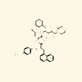 CCCC[C@H](NC(=O)[C@@H](CSc1ccc(O)cc1)Cc1cccc2ccccc12)C(=O)N[C@@H](CC1CCCCC1)[C@@H](O)[C@@H](O)CN1CCOCC1